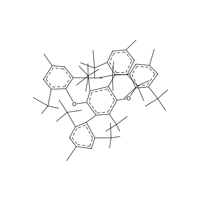 Cc1cc(C(C)(C)C)c(Oc2c(-c3c(C(C)(C)C)cc(C)cc3C(C)(C)C)c(C(C)(C)C)c(Oc3c(C(C)(C)C)cc(C)cc3C(C)(C)C)c(-c3c(C(C)(C)C)cc(C)cc3C(C)(C)C)c2C(C)(C)C)c(C(C)(C)C)c1